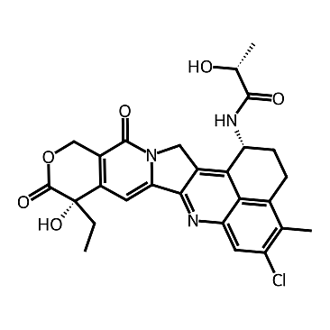 CC[C@@]1(O)C(=O)OCc2c1cc1n(c2=O)Cc2c-1nc1cc(Cl)c(C)c3c1c2[C@H](NC(=O)[C@@H](C)O)CC3